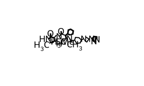 CSc1cc(C)[nH]c(=O)c1CNC(=O)c1c(C)n(C(C)C2CCC(N3CC(n4ccnn4)C3)CC2)c2ccccc12